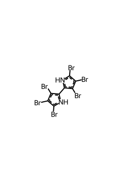 Brc1[nH]c(-c2[nH]c(Br)c(Br)c2Br)c(Br)c1Br